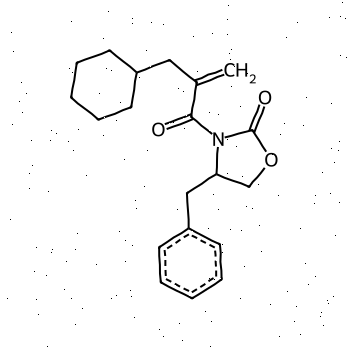 C=C(CC1CCCCC1)C(=O)N1C(=O)OCC1Cc1ccccc1